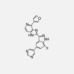 Fc1cc(-c2cncnc2)cc2c(-c3nc4c(-c5ccoc5)nccc4[nH]3)n[nH]c12